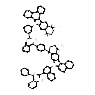 CC1(C)CCC(C)(C)c2cc3c(cc21)c1c2ccccc2c2ccccc2c1n3-c1cccc(C2N=c3ccccc3=C(c3ccc(C4(C)CCC(C)(C)c5cc6c7c8ccccc8ccc7n(-c7ccc(C8=NC(c9ccccc9)=C9C=CC=CC9N8)c8ccccc78)c6cc54)cc3)N2)c1